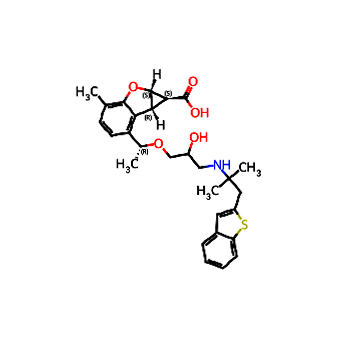 Cc1ccc([C@@H](C)OCC(O)CNC(C)(C)Cc2cc3ccccc3s2)c2c1O[C@@H]1[C@@H](C(=O)O)[C@H]21